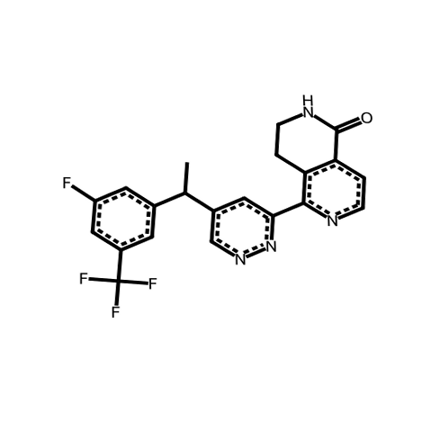 CC(c1cc(F)cc(C(F)(F)F)c1)c1cnnc(-c2nccc3c2CCNC3=O)c1